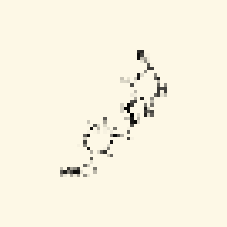 COc1cncc(Cn2cc3ncc(Br)cc3n2)c1